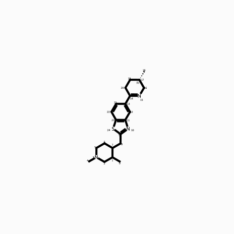 CC1CN(C)CCC1Cc1nc2cc(C3=NC[C@@H](C)CC3)ccc2s1